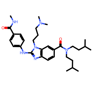 CNC(=O)c1ccc(Nc2nc3ccc(C(=O)N(CCC(C)C)CCC(C)C)cc3n2CCCN(C)C)cc1